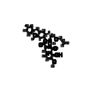 COc1ccc(C[C@H](COCC2CC2)[C@H](C)OC(=O)[C@H](C)NC(=O)c2nccc(OC)c2O)cc1Cc1ccccc1